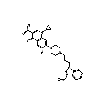 O=Cc1cn(CCCN2CCN(c3cc4c(cc3F)c(=O)c(C(=O)O)cn4C3CC3)CC2)c2ccccc12